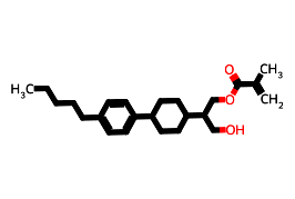 C=C(C)C(=O)OCC(CO)C1CCC(c2ccc(CCCCC)cc2)CC1